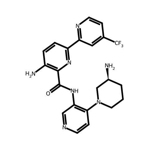 Nc1ccc(-c2cc(C(F)(F)F)ccn2)nc1C(=O)Nc1cnccc1N1CCC[C@H](N)C1